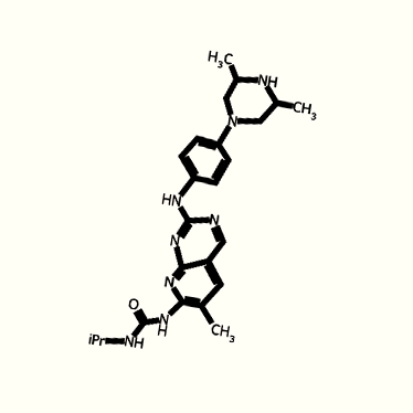 Cc1cc2cnc(Nc3ccc(N4CC(C)NC(C)C4)cc3)nc2nc1NC(=O)NC(C)C